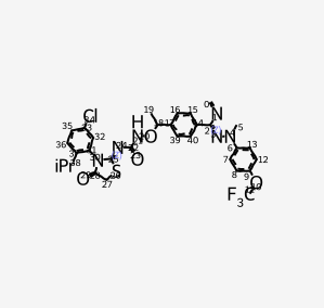 C=N/C(=N\N(C)c1ccc(OC(F)(F)F)cc1)c1ccc(C(C)ONC(=O)/N=C2\SCC(=O)N2c2cc(Cl)ccc2C(C)C)cc1